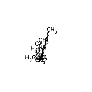 C=CC(=O)NC.CCCCCCCCCCCCOS(=O)(=O)[O-].CCC[N+](C)(C)C